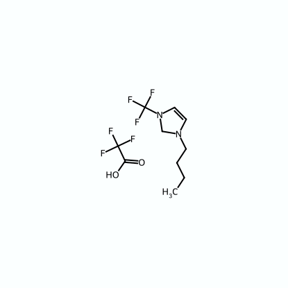 CCCCN1C=CN(C(F)(F)F)C1.O=C(O)C(F)(F)F